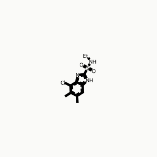 CCNS(=O)(=O)c1nc2c(Cl)c(C)c(C)cc2[nH]1